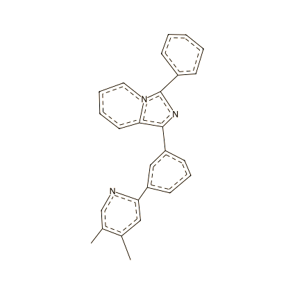 Cc1cnc(-c2cccc(-c3nc(-c4ccccc4)n4ccccc34)c2)cc1C